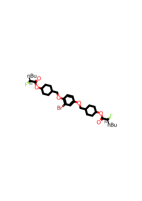 CCCC[C@H](F)C(=O)OC1CCC(COc2ccc(OCC3CCC(OC(=O)[C@@H](F)CCCC)CC3)c(Br)c2)CC1